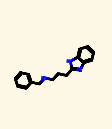 c1ccc(CNCCCc2nc3ccccc3[nH]2)cc1